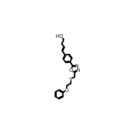 OCCC=Cc1ccc(-c2nnc(CSCCOc3ccccc3)o2)cc1